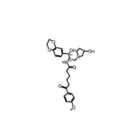 COc1ccc(C(=O)CCCCC(=O)N[C@H](CN2CCC(O)C2)[C@H](O)c2ccc3c(c2)OCCO3)cc1